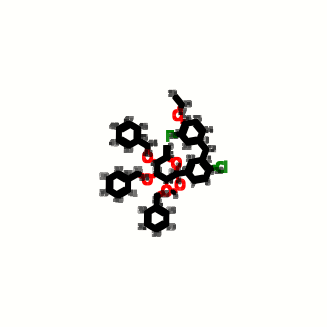 C=C1O[C@@](OC)(c2ccc(Cl)c(Cc3ccc(OCC)c(F)c3)c2)[C@H](OCc2ccccc2)[C@@H](OCc2ccccc2)[C@@H]1OCc1ccccc1